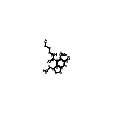 COc1c(C(=O)NCCCCl)n2c(cc1=O)CCC2CO